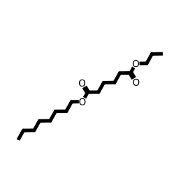 CCCCCCCCOC(=O)CCCCC(=O)OCCC